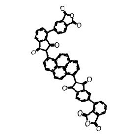 O=C1OC(=O)c2cc(-c3cccc4c3C(=O)C(c3ccc5ccc6c(C7C(=O)c8ccc(-c9cccc%10c9C(=O)OC%10=O)cc8C7=O)ccc7ccc3c5c76)C4=O)ccc21